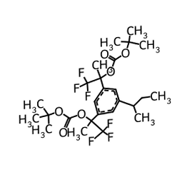 CCC(C)c1cc(C(C)(OC(=O)OC(C)(C)C)C(F)(F)F)cc(C(C)(OC(=O)OC(C)(C)C)C(F)(F)F)c1